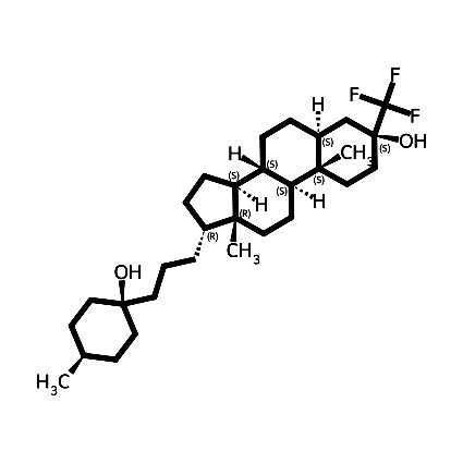 C[C@]12CC[C@@](O)(C(F)(F)F)C[C@@H]1CC[C@@H]1[C@@H]2CC[C@]2(C)[C@H](CCC[C@]3(O)CC[C@@H](C)CC3)CC[C@@H]12